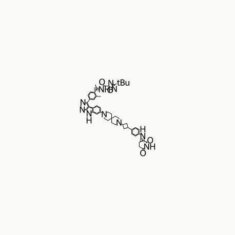 Cc1cc(-c2ncnc3[nH]c4cc(N5CCC6(CC5)CCN(C5CC(c7ccc(N[C@H]8CCC(=O)NC8=O)cc7)C5)CC6)ccc4c23)ccc1[C@@H](C)NC(=O)c1nc(C(C)(C)C)no1